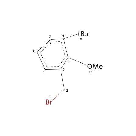 COc1c(CBr)cccc1C(C)(C)C